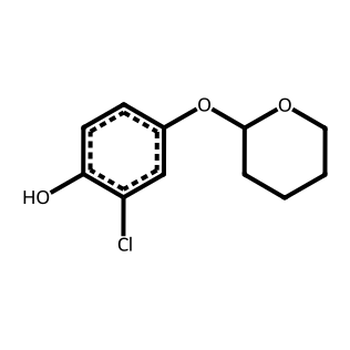 Oc1ccc(OC2CCCCO2)cc1Cl